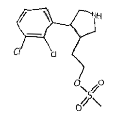 CS(=O)(=O)OCCC1CNCC1c1cccc(Cl)c1Cl